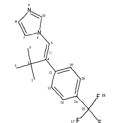 CC(C)(C)/C(=C\n1ccnc1)c1ccc(C(F)(F)F)cc1